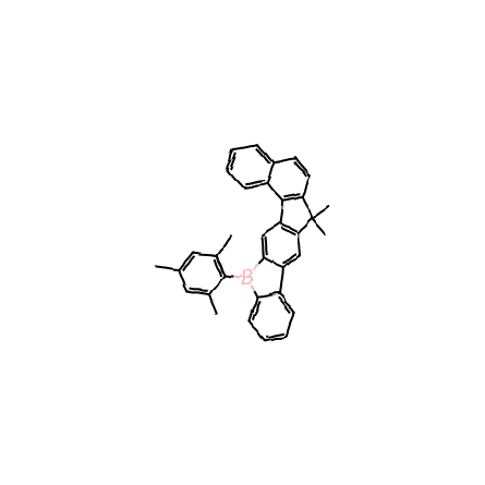 Cc1cc(C)c(B2c3ccccc3-c3cc4c(cc32)-c2c(ccc3ccccc23)C4(C)C)c(C)c1